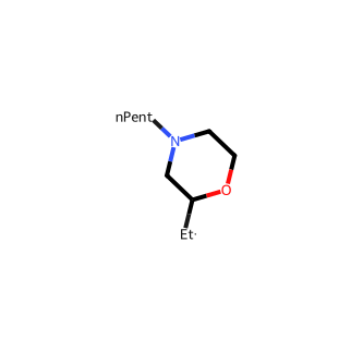 C[CH]C1CN(CCCCC)CCO1